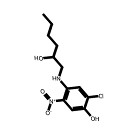 CCCCC(O)CNc1cc(Cl)c(O)cc1[N+](=O)[O-]